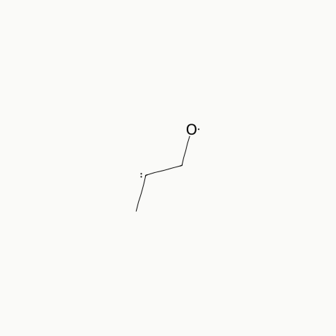 C[C]C[O]